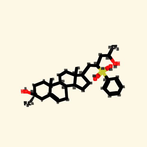 CC12CC[C@@](O)(C(F)(F)F)CC1=CCC1C2CCC2(C)C(CC(CC(O)C(F)(F)F)S(=O)(=O)c3ccccc3)CCC12